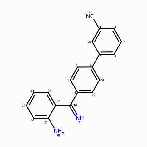 N#Cc1cccc(-c2ccc(C(=N)c3ccccc3N)cc2)c1